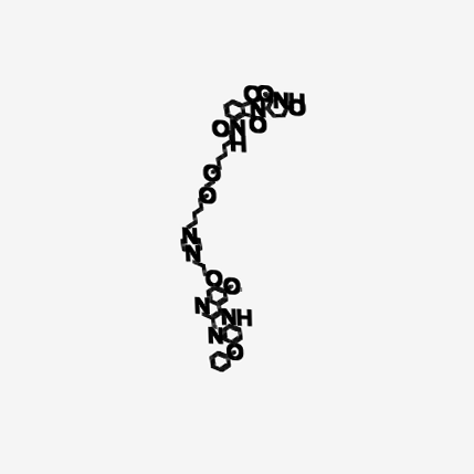 COc1cc2c(Nc3ccc(Oc4ccccc4)cc3)c(C#N)cnc2cc1OCCCN1CCN(CCCCCOCCOCCCCCC(=O)Nc2cccc3c2C(=O)N(C2CCC(=O)NC2=O)C3=O)CC1